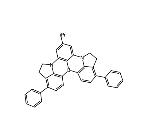 CC(C)c1cc2c3c(c1)N1CCc4c(-c5ccccc5)ccc(c41)B3c1ccc(-c3ccccc3)c3c1N2CC3